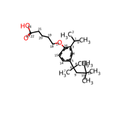 CC(C)c1cc(C(C)(C)CC(C)(C)C)ccc1OCCCCC(=O)O